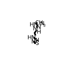 CNC(=NCCCNc1ncsn1)NC#N